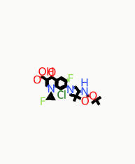 CC(C)(C)OC(=O)NC1CN(c2c(F)cc3c(=O)c(C(=O)O)cn([C@@H]4C[C@H]4F)c3c2Cl)CC1(C)C